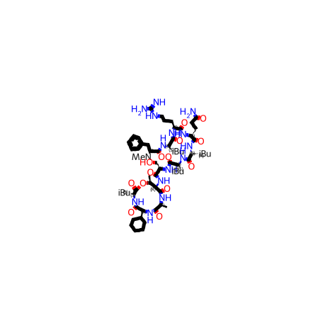 CC[C@@H](C)[C@@H](NC(=O)[C@@H](CCC(N)=O)NC(=O)[C@H](CCCNC(=N)N)NC(=O)[C@@H](NC(=O)[C@@H](Cc1ccccc1)NC)[C@@H](C)CC)C(=O)N[C@H](C(=O)N[C@@H](CO)C(=O)N[C@H]1C(=O)N[C@@H](C)C(=O)N[C@@H](C2CCCCC2)C(=O)N[C@@H]([C@@H](C)CC)C(=O)O[C@H]1C)[C@@H](C)CC